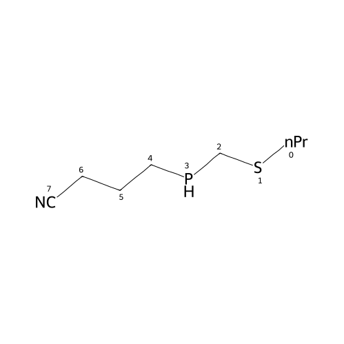 CCCSCPCCCC#N